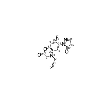 C#CCN1CC(=O)Oc2cc(F)c(N3N=CCC3=O)cc21